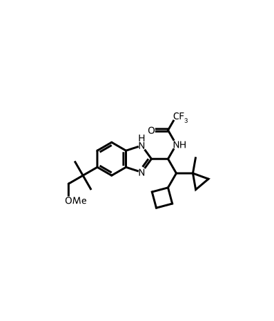 COCC(C)(C)c1ccc2[nH]c(C(NC(=O)C(F)(F)F)C(C3CCC3)C3(C)CC3)nc2c1